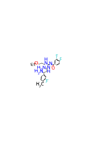 CCOCCCN/C(=N/C(=O)c1ccc(F)c(F)c1)NC(N)CC(N)c1ccc(C)c(F)c1